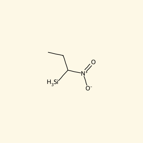 CCC([SiH3])[N+](=O)[O-]